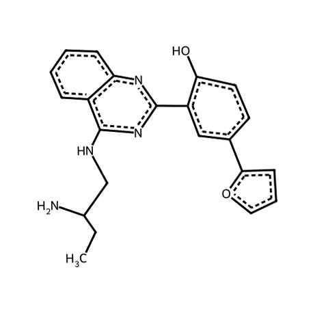 CCC(N)CNc1nc(-c2cc(-c3ccco3)ccc2O)nc2ccccc12